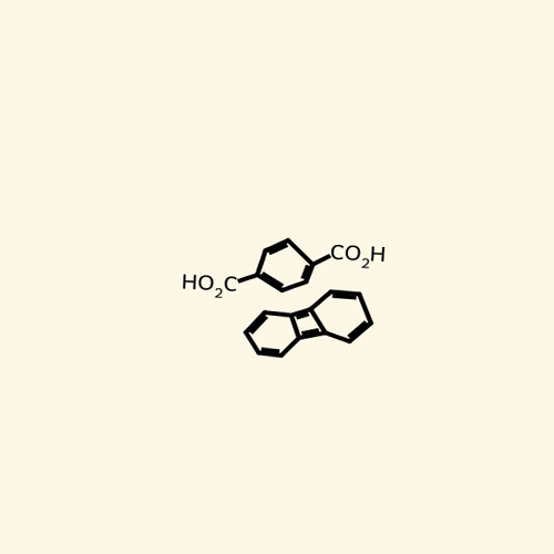 O=C(O)c1ccc(C(=O)O)cc1.c1ccc2c(c1)=c1ccccc1=2